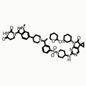 CC(c1cccc(S(=O)(=O)N2CCC(Nc3ncc4c(n3)N([C@@H]3CCC[C@@H](OC5CCCCO5)C3)C(=O)C43CC3)CC2)c1)N1CCC(c2ccc3c(N4CCC(=O)NC4=O)nn(C)c3c2)CC1